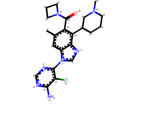 Cc1cc2c(ncn2-c2ncnc(N)c2Cl)c(C2CCCN(C)C2)c1C(=O)N1CCC1